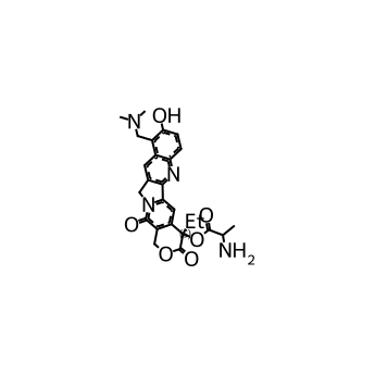 CC[C@@]1(OC(=O)C(C)N)C(=O)OCc2c1cc1n(c2=O)Cc2cc3c(CN(C)C)c(O)ccc3nc2-1